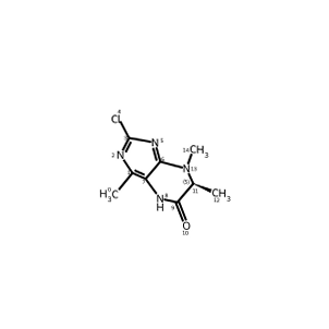 Cc1nc(Cl)nc2c1NC(=O)[C@H](C)N2C